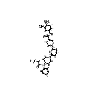 CCC(=O)N(c1ccccc1)C1CCN(c2ccnc(N3CCN(C(=O)Nc4ccc(C)c(Cl)c4)CC3)n2)CC1